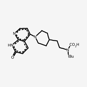 CC(C)(C)N(CCC1CCN(c2ccnc3[nH]c(=O)ccc23)CC1)C(=O)O